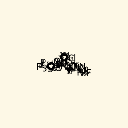 O=S(=O)(c1ccc(SC(F)F)cc1)n1nc(N2CCN(c3ncc(F)cn3)CC23CC3)c2c(Cl)cccc21